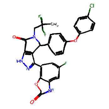 CC(F)(F)CN1C(=O)c2[nH]nc(-c3cc(F)cc4[nH]c(=O)oc34)c2C1c1ccc(Oc2ccc(Cl)cc2)cc1